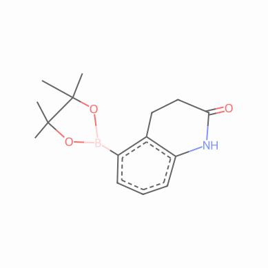 CC1(C)OB(c2cccc3c2CCC(=O)N3)OC1(C)C